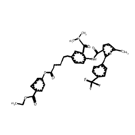 CCOC(=O)c1ccc(OC(=O)CCCc2ccc(NC(=O)c3ccc(C)nc3-c3ccc(C(F)(F)F)cc3)c(C(=O)N(C)C)c2)cc1